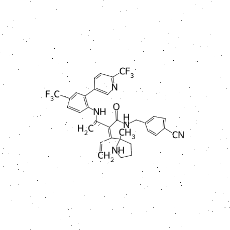 C=C/C(=C(\C(=C)Nc1ccc(C(F)(F)F)cc1-c1ccc(C(F)(F)F)nc1)C(=O)NCc1ccc(C#N)cc1)C1(C)CCCN1